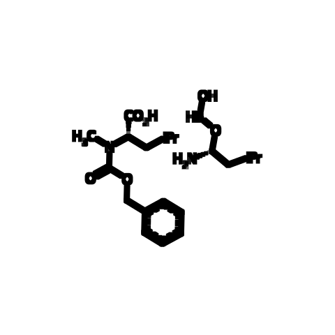 CC(C)C[C@@H](C(=O)O)N(C)C(=O)OCc1ccccc1.CC(C)C[C@H](N)OBO